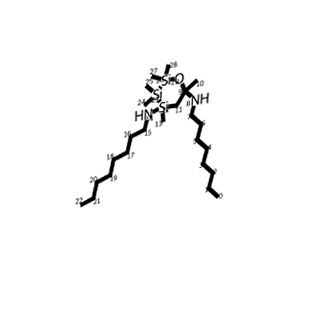 CCCCCCCCNC1(C)C[Si](C)(NCCCCCCCC)[Si](C)(C)[Si](C)(C)O1